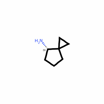 N[C@H]1CCCC12CC2